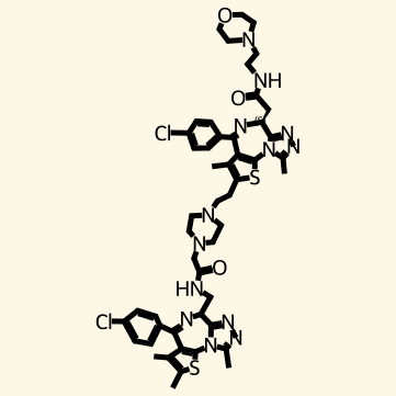 Cc1sc2c(c1C)C(c1ccc(Cl)cc1)=NC(CNC(=O)CN1CCN(CCc3sc4c(c3C)C(c3ccc(Cl)cc3)=N[C@@H](CC(=O)NCCN3CCOCC3)c3nnc(C)n3-4)CC1)c1nnc(C)n1-2